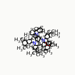 Cc1cc2c(cc1N1c3ccc(C(C)(C)C)cc3B3c4cc5c(cc4N(c4ccc(C(C)(C)C)cc4-c4ccccc4)c4cc(N6c7ccccc7C7(C)CCCCC67C)cc1c43)C(C)(C)CCC5(C)C)C(C)(C)CCC2(C)C